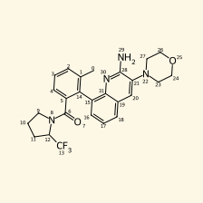 Cc1cccc(C(=O)N2CCCC2C(F)(F)F)c1-c1cccc2cc(N3CCOCC3)c(N)nc12